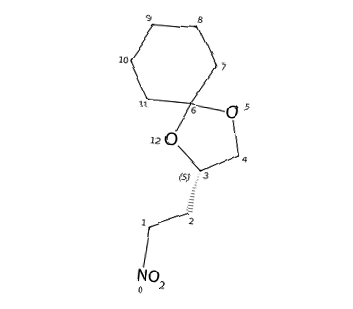 O=[N+]([O-])CC[C@H]1COC2(CCCCC2)O1